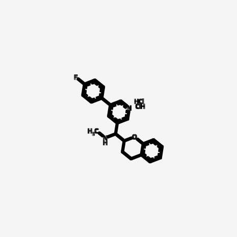 CNC(c1cncc(-c2ccc(F)cc2)c1)C1CCc2ccccc2O1.Cl.Cl